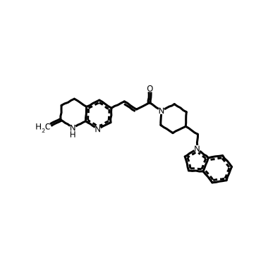 C=C1CCc2cc(/C=C/C(=O)N3CCC(Cn4ccc5ccccc54)CC3)cnc2N1